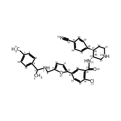 Cc1ccc(C(C)NCc2ccc(-c3ccc(Cl)c(C(=O)N[C@H]4CNCC[C@@H]4c4ccc(C#N)cc4)c3)o2)cc1